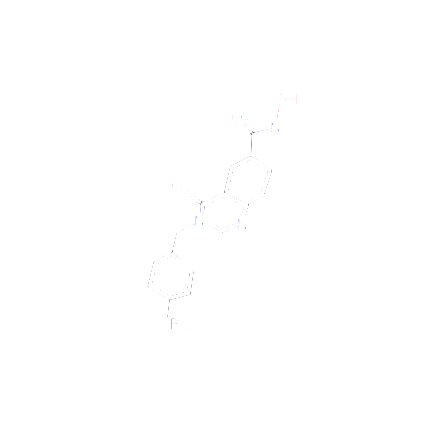 CC(C)(C)c1ccc(Cn2cnc3ccc(C(=O)NO)cc3c2=O)cc1